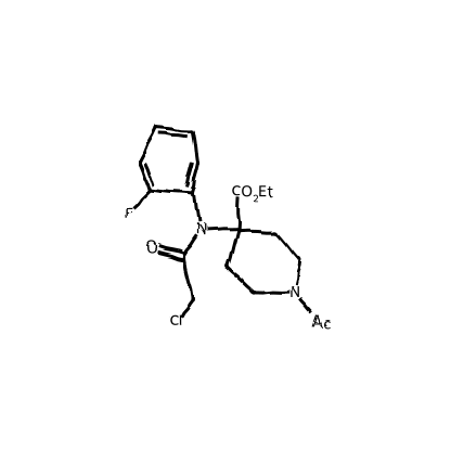 CCOC(=O)C1(N(C(=O)CCl)c2ccccc2F)CCN(C(C)=O)CC1